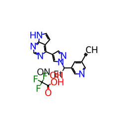 C#Cc1cncc(C(CC)n2cc(-c3ncnc4[nH]ccc34)cn2)c1.O=C(O)C(F)(F)F.O=NO